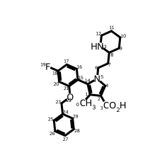 Cc1c(C(=O)O)cn(CCC2CCCCN2)c1-c1ccc(F)cc1OCc1ccccc1